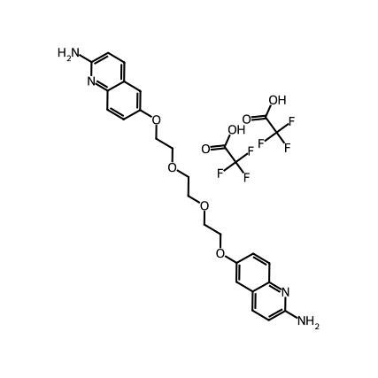 Nc1ccc2cc(OCCOCCOCCOc3ccc4nc(N)ccc4c3)ccc2n1.O=C(O)C(F)(F)F.O=C(O)C(F)(F)F